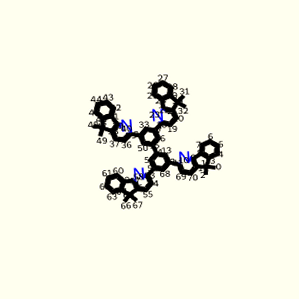 CC1(C)c2ccccc2-c2nc(-c3cc(-c4cc(-c5ccc6c(n5)-c5ccccc5C6(C)C)cc(-c5ccc6c(n5)-c5ccccc5C6(C)C)c4)cc(-c4ccc5c(n4)-c4ccccc4C5(C)C)c3)ccc21